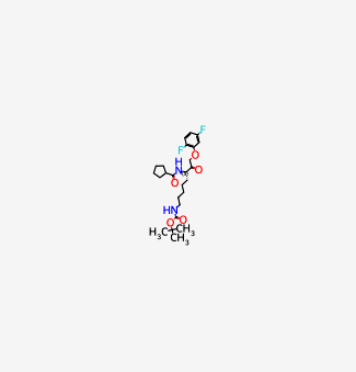 CC(C)(C)OC(=O)NCCCCC[C@H](NC(=O)C1CCCC1)C(=O)COc1cc(F)ccc1F